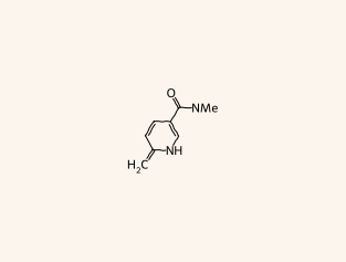 C=C1C=CC(C(=O)NC)=CN1